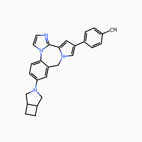 N#Cc1ccc(-c2cc3n(c2)Cc2cc(N4CC5CCC5C4)ccc2-n2ccnc2-3)cc1